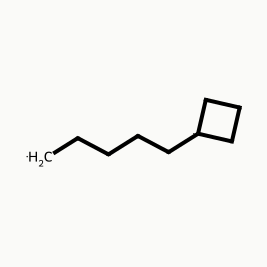 [CH2]CCCC[C]1CCC1